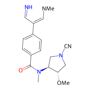 CN/C=C(\C=N)c1ccc(C(=O)N(C)[C@H]2CN(C#N)C[C@@H]2OC)cc1